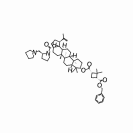 C=C(C)[C@@H]1CC[C@]2(C(=O)N3CCC[C@H]3CN3CCCC3)CC[C@]3(C)[C@H](CC[C@@H]4[C@@]5(C)CC[C@H](OC(=O)[C@H]6C[C@@H](C(=O)OCc7ccccc7)C6(C)C)C(C)(C)[C@@H]5CC[C@]43C)[C@@H]12